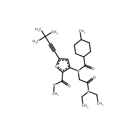 CCN(CC)C(=O)CN(C(=O)C1CCC(C)CC1)c1cc(C#CC(C)(C)C)sc1C(=O)OC